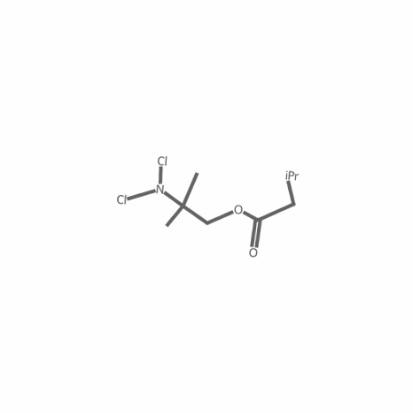 CC(C)CC(=O)OCC(C)(C)N(Cl)Cl